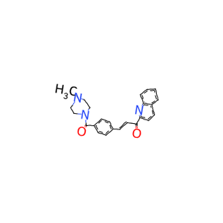 CN1CCN(C(=O)c2ccc(C=CC(=O)c3ccc4ccccc4n3)cc2)CC1